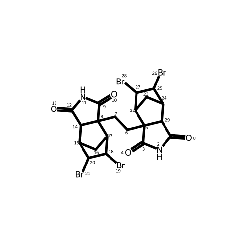 O=C1NC(=O)C2(CCC34C(=O)NC(=O)C3C3CC4C(Br)C3Br)C3CC(C(Br)C3Br)C12